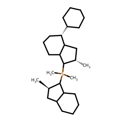 C[C@@H]1CC2CCCCC2C1S(C)(C)C1C2CCC[C@H](C3CCCCC3)C2C[C@@H]1C